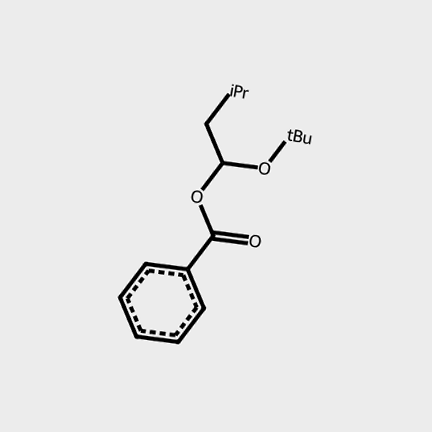 CC(C)CC(OC(=O)c1ccccc1)OC(C)(C)C